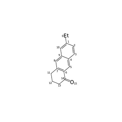 CCc1ccc2cc3c(cc2c1)CCCC3=O